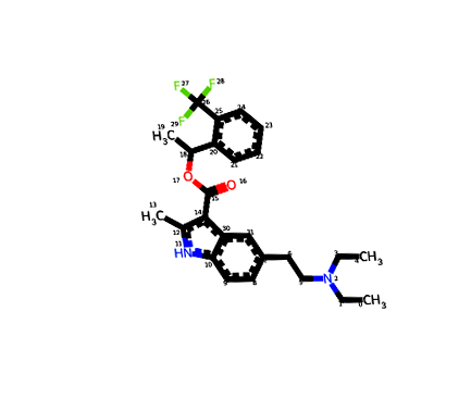 CCN(CC)CCc1ccc2[nH]c(C)c(C(=O)OC(C)c3ccccc3C(F)(F)F)c2c1